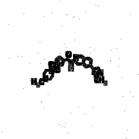 CN1CCN(S(=O)(=O)n2ccc(C(=O)Nc3cc4cc(-c5cnn(C)c5)ccc4cn3)c2)CC1